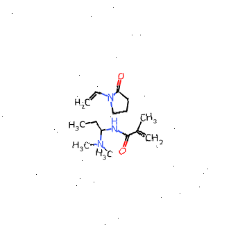 C=C(C)C(=O)NC(CC)N(C)C.C=CN1CCCC1=O